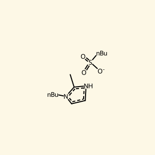 CCCCS(=O)(=O)[O-].CCCC[n+]1cc[nH]c1C